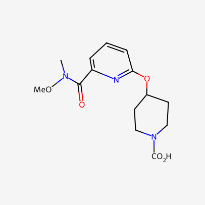 CON(C)C(=O)c1cccc(OC2CCN(C(=O)O)CC2)n1